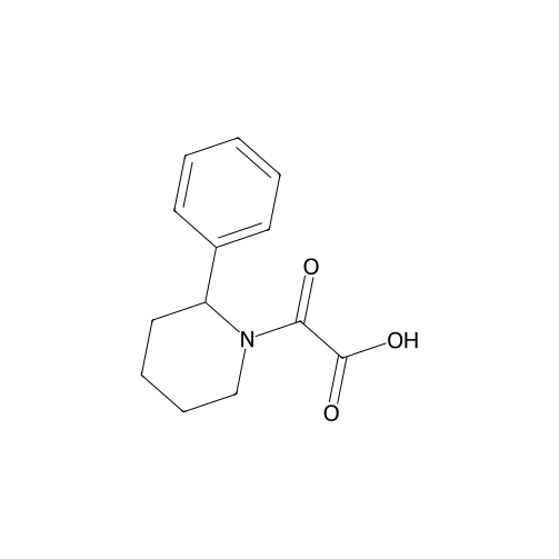 O=C(O)C(=O)N1CCCCC1c1ccccc1